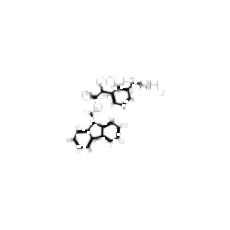 NCc1cccc(C(C(=O)O)C(=O)OCC2c3ccccc3-c3ccccc32)c1